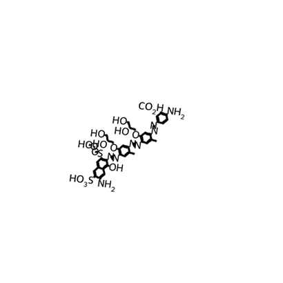 Cc1cc(N=Nc2cc(OCC(O)CO)c(N=Nc3c(SOOO)cc4cc(S(=O)(=O)O)c(N)cc4c3O)cc2C)c(OCC(O)CO)cc1N=Nc1ccc(N)c(C(=O)O)c1